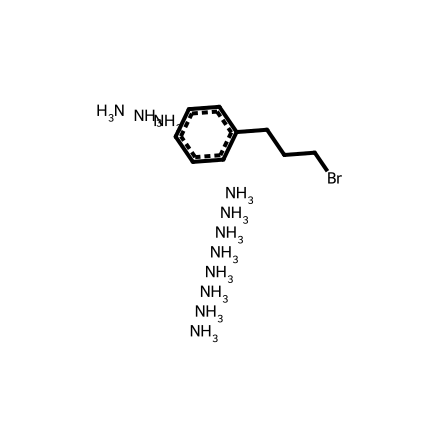 BrCCCc1ccccc1.N.N.N.N.N.N.N.N.N.N.N